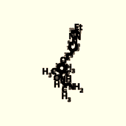 CCc1cnc(N2CCC(CCCOc3cc(C)c(C(O)NC[C@H](C)CN)c(C)c3)CC2)nc1